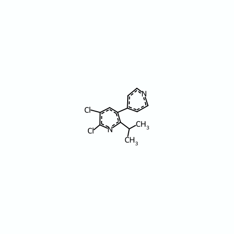 CC(C)c1nc(Cl)c(Cl)cc1-c1ccncc1